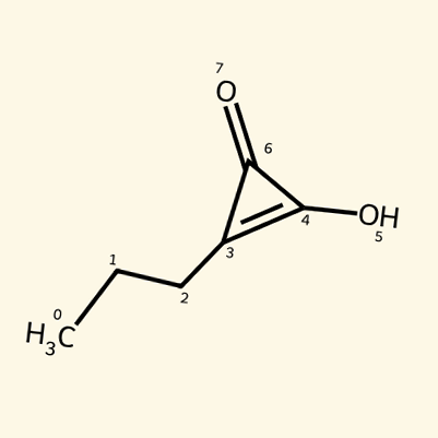 CCCc1c(O)c1=O